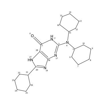 O=c1[nH]c(N(C2CCCCC2)C2CCCCC2)nc2nc(C3CCCCC3)[nH]c12